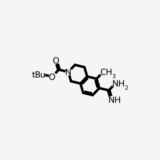 Cc1c(C(=N)N)ccc2c1CCN(C(=O)OC(C)(C)C)C2